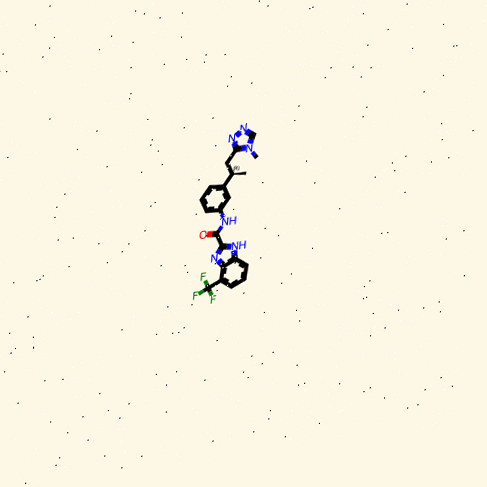 C[C@H](Cc1nncn1C)c1cccc(NC(=O)c2nc3c(C(F)(F)F)cccc3[nH]2)c1